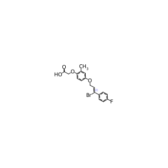 Cc1cc(OC/C=C(\Br)c2ccc(F)cc2)ccc1OCC(=O)O